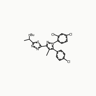 CCCCC(C)c1nnc(-c2nn(-c3ccc(Cl)cc3Cl)c(-c3ccc(Cl)cc3)c2C)s1